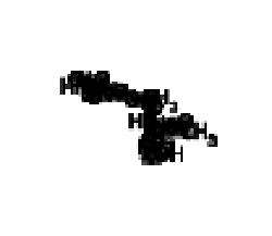 CC(=O)N1CCN(c2nc(NCCC(=O)N(C)CCOCCOc3ccc4c(c3)C(=O)N(C3CCC(=O)NC3=O)C4=O)nc3c(F)c(C4=C(F)C=CC[C@@H]4O)c(Cl)cc23)CC1